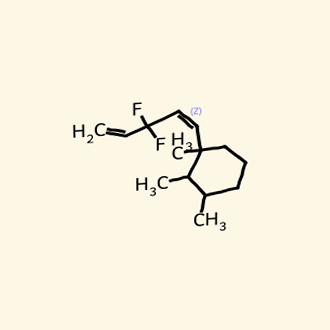 C=CC(F)(F)/C=C\C1(C)CCCC(C)C1C